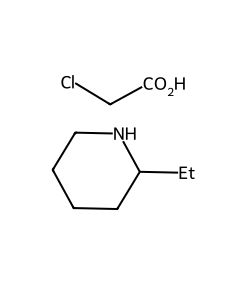 CCC1CCCCN1.O=C(O)CCl